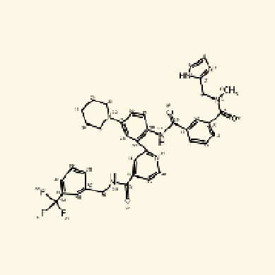 CN(Cc1ncc[nH]1)C(=O)c1cccc(C(=O)Nc2ccc(N3CCCCC3)cc2-c2cc(C(=O)NCc3cccc(C(F)(F)F)c3)ccn2)c1